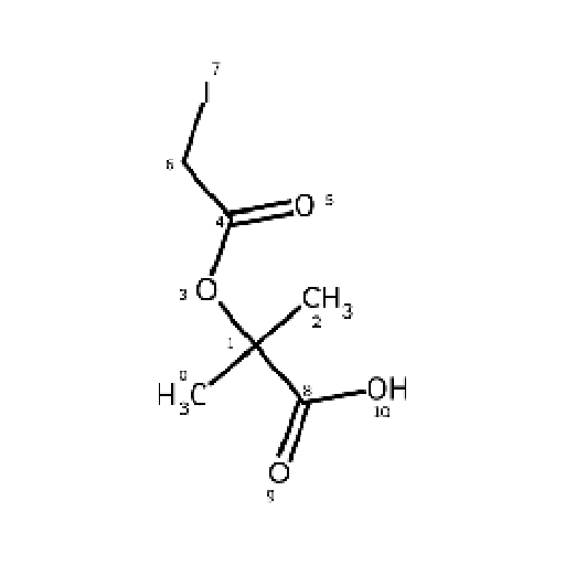 CC(C)(OC(=O)CI)C(=O)O